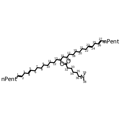 CCCCCC=CCC=CCCCCCCCCC(CCCCCCCCC=CCC=CCCCCC)OC(=O)CCCCCN(C)C